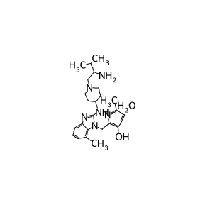 Cc1ccc(O)c(Cn2c(NC3CCN(CC(N)C(C)C)CC3)nc3cccc(C)c32)n1.O